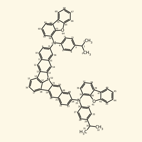 CC(C)c1ccc(N(c2ccc3cc4c5cccc6c7cc8ccc(N(c9ccc(C(C)C)cc9)c9cccc%10c9oc9ccccc9%10)cc8cc7n(c4cc3c2)c56)c2cccc3c2oc2ccccc23)cc1